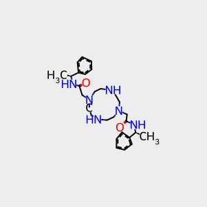 C[C@H](NC(=O)CN1CCNCCN(CC(=O)N[C@@H](C)c2ccccc2)CCNCC1)c1ccccc1